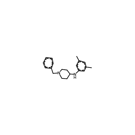 Cc1cc(C)cc(NC2CCN(Cc3ccccc3)CC2)c1